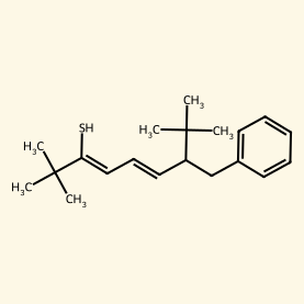 CC(C)(C)/C(S)=C/C=C/C(Cc1ccccc1)C(C)(C)C